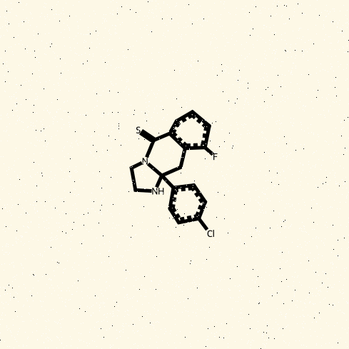 Fc1cccc2c1CC1(c3ccc(Cl)cc3)NCCN1C2=S